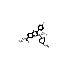 COC(=O)c1ccc2nc(-c3ccc(F)cc3)c(N(C)C3CCC(N)CC3)nc2c1